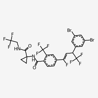 O=C(NC1(C(=O)NCC(F)(F)F)CC1)c1ccc(/C(F)=C/C(c2cc(Br)cc(Br)c2)C(F)(F)F)cc1C(F)(F)F